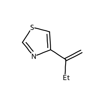 C=C(CC)c1cscn1